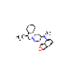 CC(=O)N(c1cccc2cocc12)C1CCN(CC(C)C2CCCCC2)CC1